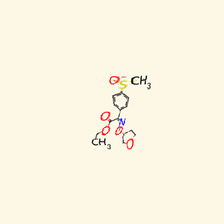 CCOC(=O)C(=NO[C@@H]1CCOC1)c1ccc([S+](C)[O-])cc1